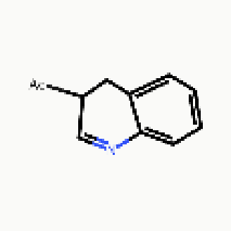 CC(=O)C1C=Nc2ccccc2C1